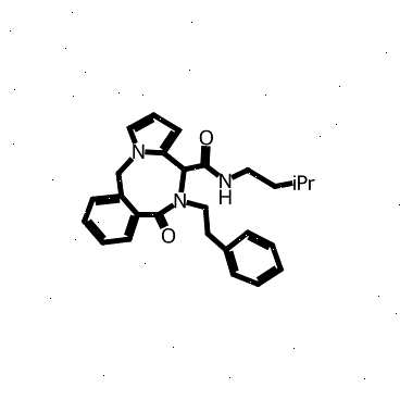 CC(C)CCNC(=O)C1c2cccn2Cc2ccccc2C(=O)N1CCc1ccccc1